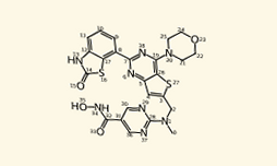 CN(Cc1cc2nc(-c3cccc4[nH]c(=O)sc34)nc(N3CCOCC3)c2s1)c1ncc(C(=O)NO)cn1